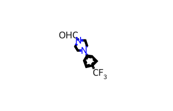 O=CN1CCN(c2ccc(C(F)(F)F)cc2)CC1